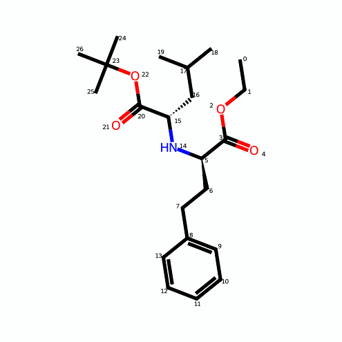 CCOC(=O)[C@@H](CCc1ccccc1)N[C@@H](CC(C)C)C(=O)OC(C)(C)C